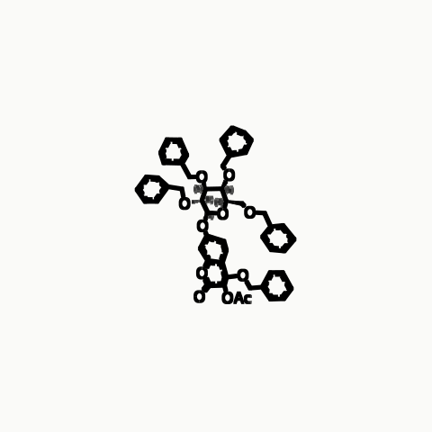 CC(=O)Oc1c(OCc2ccccc2)c2ccc(O[C@@H]3O[C@H](COCc4ccccc4)[C@H](OCc4ccccc4)[C@H](OCc4ccccc4)[C@H]3OCc3ccccc3)cc2oc1=O